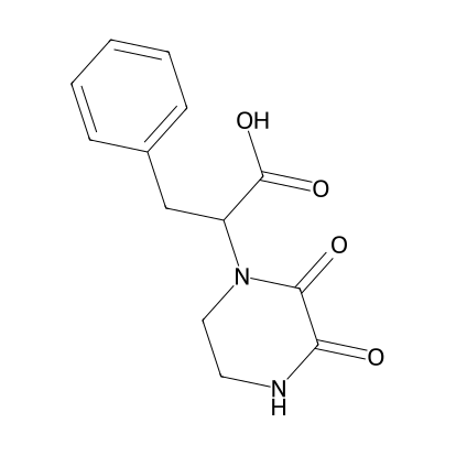 O=C1NCCN(C(Cc2ccccc2)C(=O)O)C1=O